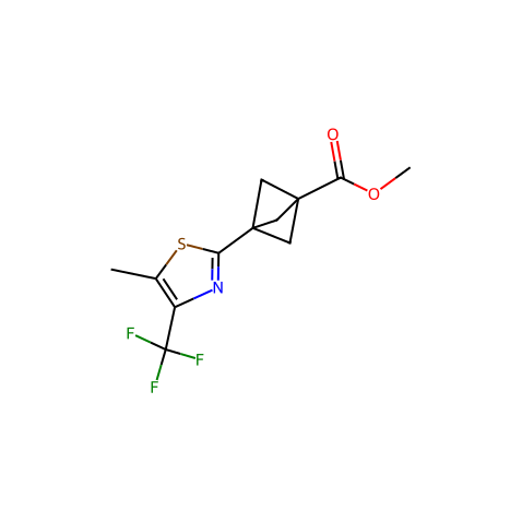 COC(=O)C12CC(c3nc(C(F)(F)F)c(C)s3)(C1)C2